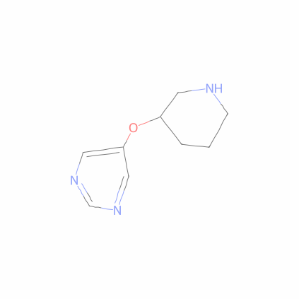 c1ncc(OC2CCCNC2)cn1